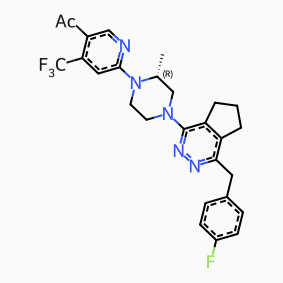 CC(=O)c1cnc(N2CCN(c3nnc(Cc4ccc(F)cc4)c4c3CCC4)C[C@H]2C)cc1C(F)(F)F